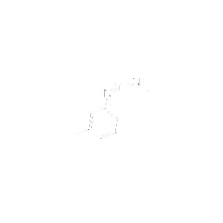 CN=C=Nc1cccc(C)c1C